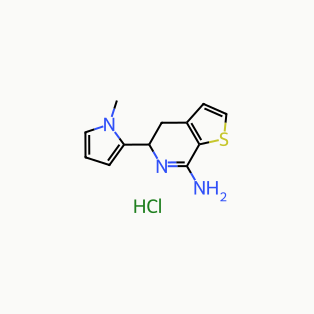 Cl.Cn1cccc1C1Cc2ccsc2C(N)=N1